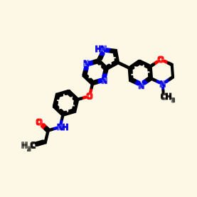 C=CC(=O)Nc1cccc(Oc2cnc3[nH]cc(-c4cnc5c(c4)OCCN5C)c3n2)c1